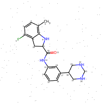 Cc1ccc(F)c2c1NC(C(=O)Nc1cccc(C3CNCNC3)c1)C2